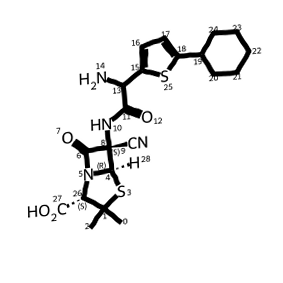 CC1(C)S[C@H]2N(C(=O)[C@]2(C#N)NC(=O)C(N)c2ccc(C3CCCCC3)s2)[C@H]1C(=O)O